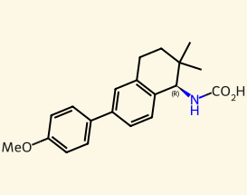 COc1ccc(-c2ccc3c(c2)CCC(C)(C)[C@H]3NC(=O)O)cc1